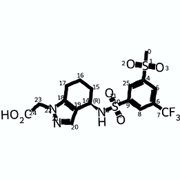 CS(=O)(=O)c1cc(C(F)(F)F)cc(S(=O)(=O)N[C@@H]2CCCc3c2cnn3CC(=O)O)c1